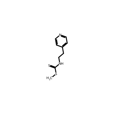 CSC(=S)NCCc1ccncc1